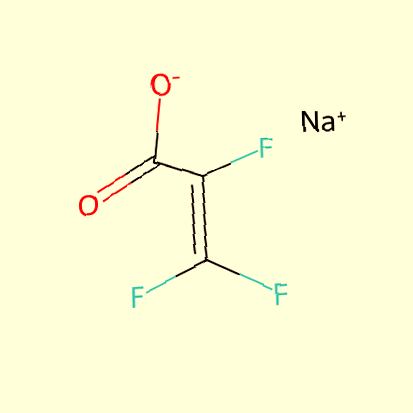 O=C([O-])C(F)=C(F)F.[Na+]